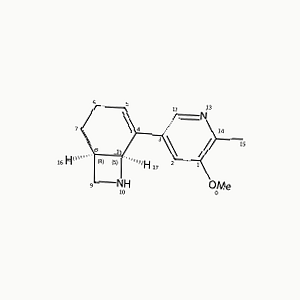 COc1cc(C2=CCC[C@@H]3CN[C@H]23)cnc1C